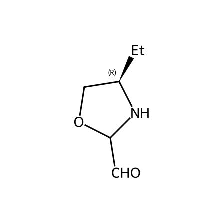 CC[C@@H]1COC(C=O)N1